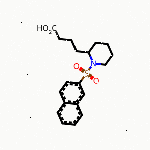 O=C(O)CCCC1CCCCN1S(=O)(=O)c1ccc2ccccc2c1